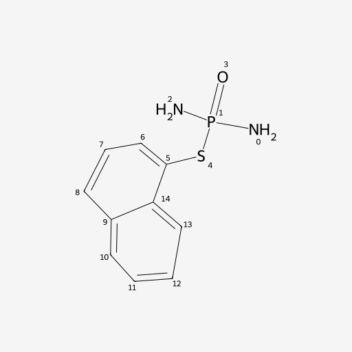 NP(N)(=O)Sc1cccc2ccccc12